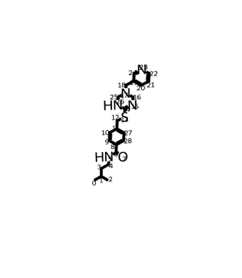 CC(C)CCNC(=O)c1ccc(CSC2=NCN(Cc3cccnc3)CN2)cc1